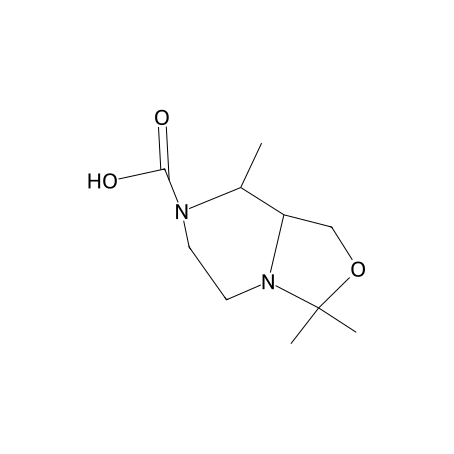 CC1C2COC(C)(C)N2CCN1C(=O)O